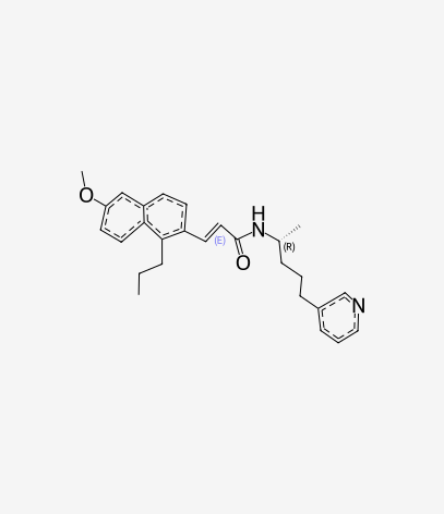 CCCc1c(/C=C/C(=O)N[C@H](C)CCCc2cccnc2)ccc2cc(OC)ccc12